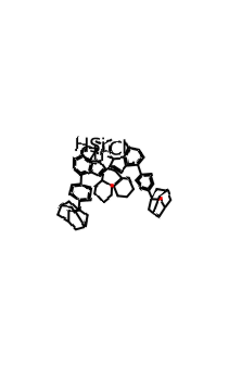 Cc1ccc(-c2ccc(C34CC5CC(CC(C5)C3)C4)cc2)c2c1[CH]([Zr]([Cl])([Cl])([CH]1C(CC3CCCCC3)=Cc3c(-c4ccc(C56CC7CC(CC(C7)C5)C6)cc4)ccc(C)c31)[SiH](C)C)C(CC1CCCCC1)=C2